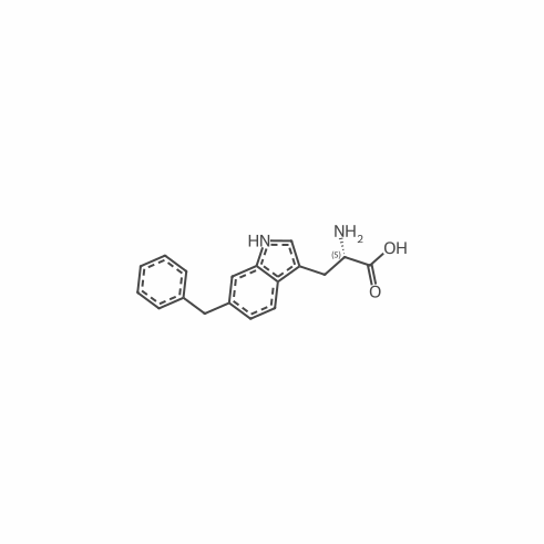 N[C@@H](Cc1c[nH]c2cc(Cc3ccccc3)ccc12)C(=O)O